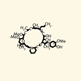 C=CCC1C=C(C)CC(C)CC(OC)C2OC(O)(C=CN3CCCCC3COC(C(C)=C[C@@H]3CC[C@@H](O)[C@H](OC)C3)C(C)C(O)CC1)C(C)CC2OC